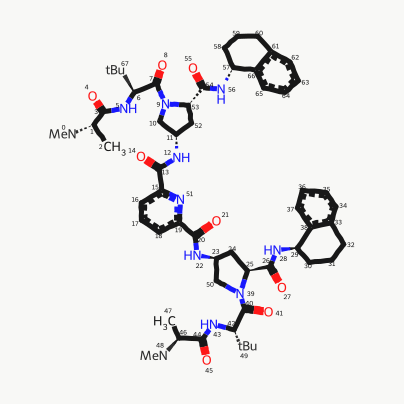 CN[C@@H](C)C(=O)N[C@H](C(=O)N1C[C@@H](NC(=O)c2cccc(C(=O)N[C@H]3C[C@@H](C(=O)N[C@@H]4CCCc5ccccc54)N(C(=O)[C@@H](NC(=O)[C@H](C)NC)C(C)(C)C)C3)n2)C[C@H]1C(=O)N[C@@H]1CCCc2ccccc21)C(C)(C)C